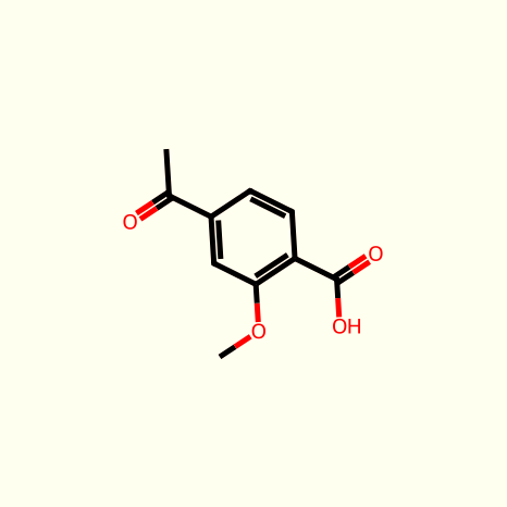 COc1cc(C(C)=O)ccc1C(=O)O